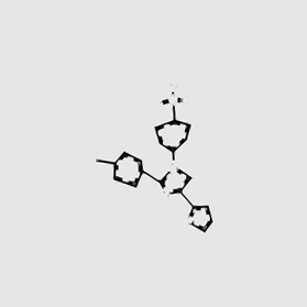 NS(=O)(=O)c1ccc(-n2cc(-c3cccs3)nc2-c2ccc(Cl)cc2)cc1